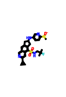 C[S+]([O-])c1ccc(NC2Cc3cc4cnc(C5CC5)cc4c(S(=O)(=O)NCC(C)(C)F)c3C2)cn1